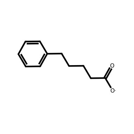 [O]C(=O)CCCCc1ccccc1